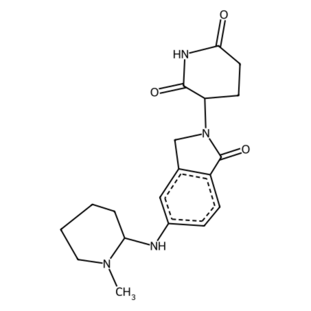 CN1CCCCC1Nc1ccc2c(c1)CN(C1CCC(=O)NC1=O)C2=O